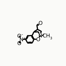 C[N+]12CC(C=O)C(C1)c1cc([N+](=O)[O-])ccc1O2